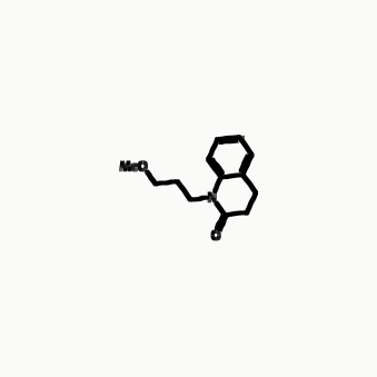 COCCCN1C(=O)CCc2c[c]ccc21